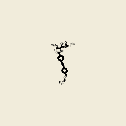 COC(=O)[C@@H](NC(=O)c1ccc(C#Cc2ccc(COCC(F)(F)F)cc2)cc1)[C@@H](C)NC(=O)OC(C)(C)C